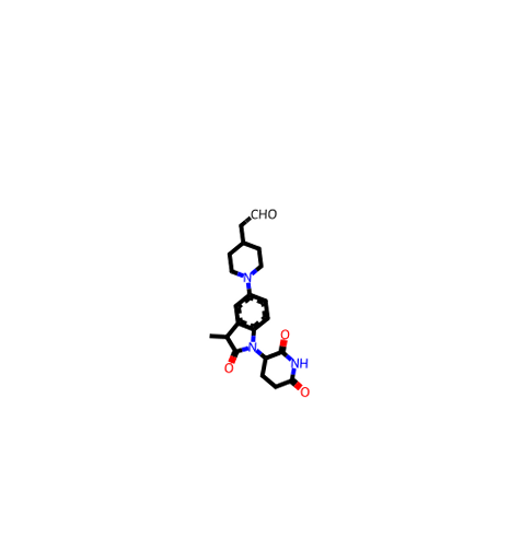 CC1C(=O)N(C2CCC(=O)NC2=O)c2ccc(N3CCC(CC=O)CC3)cc21